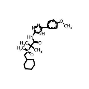 C=S(=O)(CC1CCCCC1)C(C)(C)C(=O)Nc1nnc(-c2ccc(OC)cc2)[nH]1